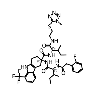 CCC(C)[C@H](NC(=O)Cc1ccccc1F)C(=O)N[C@]1(C(=O)N[C@H](C(=O)NCCSc2nnnn2C)C(C)CC)CCc2[nH]c3c(C(F)(F)F)cccc3c2C1